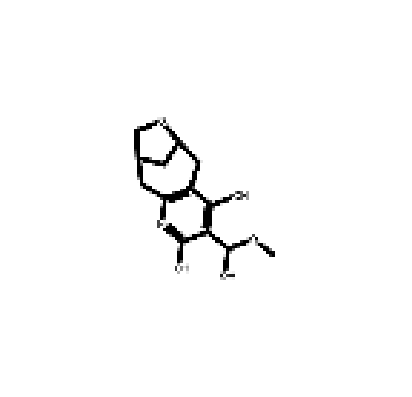 COC(O)c1c(O)nc2c(c1O)CC1CC(CO1)C2